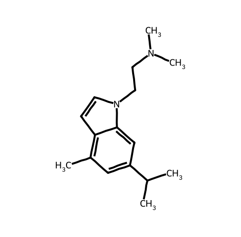 Cc1cc(C(C)C)cc2c1ccn2CCN(C)C